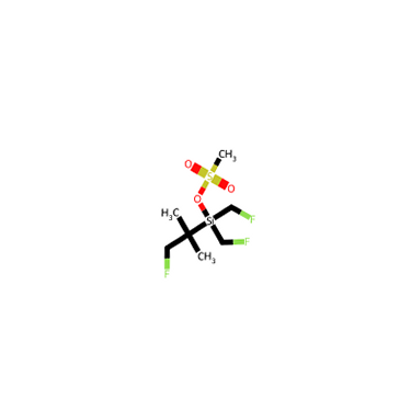 CC(C)(CF)[Si](CF)(CF)OS(C)(=O)=O